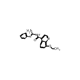 CCOc1cccc2c(C(=O)NC(N)=Nc3ccccc3)ccnc12